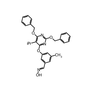 Cc1cc(C=NO)cc(Oc2nc(OCc3ccccc3)nc(OCc3ccccc3)c2C(C)C)c1